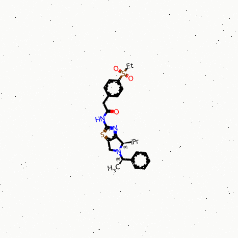 CCS(=O)(=O)c1ccc(CC(=O)Nc2nc3c(s2)CN([C@H](C)c2ccccc2)[C@@H]3C(C)C)cc1